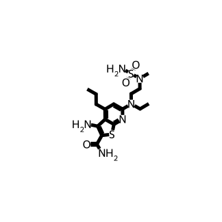 CCCc1cc(N(CC)CCN(C)S(N)(=O)=O)nc2sc(C(N)=O)c(N)c12